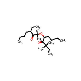 CCCCC(CC)C(=O)C(C)(C)OC(CCCC)C(=O)C(C)(C)CC